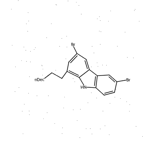 CCCCCCCCCCCCc1cc(Br)cc2c1[nH]c1ccc(Br)cc12